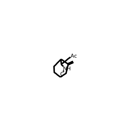 C=C1CC2CCC1C(C(C)=O)NC2